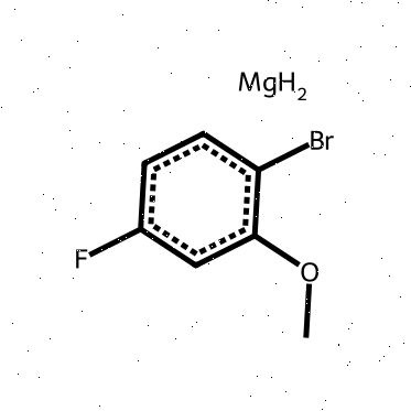 COc1cc(F)ccc1Br.[MgH2]